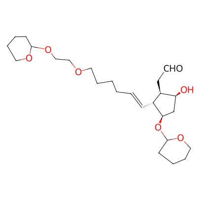 O=CC[C@@H]1[C@@H](C=CCCCCOCCOC2CCCCO2)[C@H](OC2CCCCO2)C[C@@H]1O